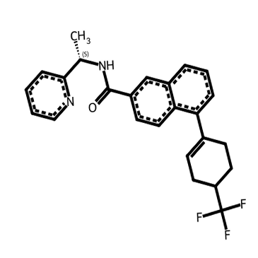 C[C@H](NC(=O)c1ccc2c(C3=CCC(C(F)(F)F)CC3)cccc2c1)c1ccccn1